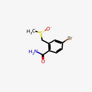 C[S+]([O-])Cc1cc(Br)ccc1C(N)=O